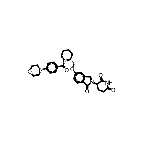 O=C1CCC(N2Cc3cc(OC[C@H]4CCCCN4C(=O)c4ccc(N5CCOCC5)cc4)ccc3C2=O)C(=O)N1